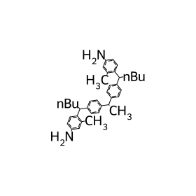 CCCCC(c1ccc(C(C)c2ccc(C(CCCC)c3ccc(N)cc3C)cc2)cc1)c1ccc(N)cc1C